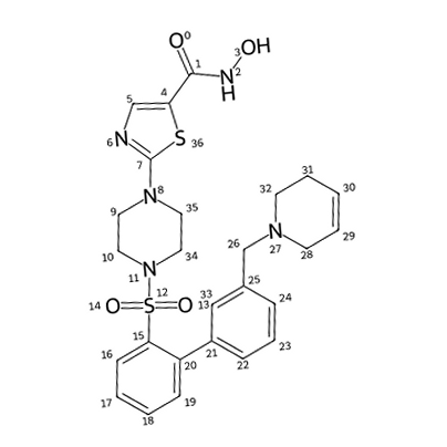 O=C(NO)c1cnc(N2CCN(S(=O)(=O)c3ccccc3-c3cccc(CN4CC=CCC4)c3)CC2)s1